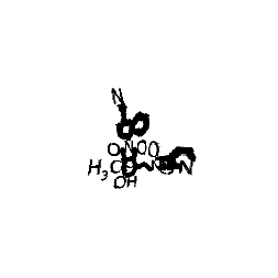 CC12OC(CCn3oc4ncccc4c3=O)(CC1O)C1C(=O)N(c3ccc(C#N)c4ccccc34)C(=O)C12